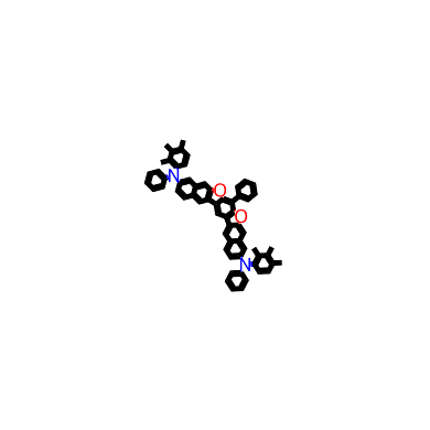 Cc1ccc(N(c2ccccc2)c2ccc3cc4c(cc3c2)oc2c(-c3ccccc3)c3oc5cc6cc(N(c7ccccc7)c7ccc(C)c(C)c7C)ccc6cc5c3cc24)c(C)c1C